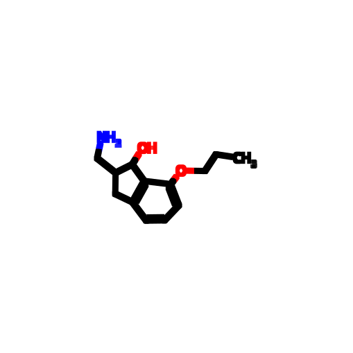 CCCOc1cccc2c1C(O)C(CN)C2